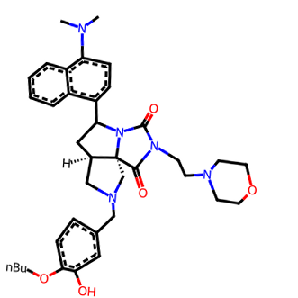 CCCCOc1ccc(CN2C[C@H]3CC(c4ccc(N(C)C)c5ccccc45)N4C(=O)N(CCN5CCOCC5)C(=O)[C@@]34C2)cc1O